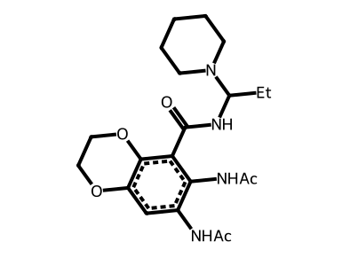 CCC(NC(=O)c1c(NC(C)=O)c(NC(C)=O)cc2c1OCCO2)N1CCCCC1